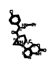 CC(C)NC[C@@H](C(=O)N1CCN(c2ncnc3c2[C@H](C)OC(=O)N3)C2C[C@H]21)c1ccc(Cl)cc1